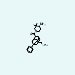 CSCC12CC3CC(c4ccccc4)(CC(C1)C3C(=S)N1CC[C@H](N)C(C)(C)C1)C2